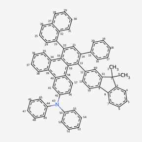 CC1(C)c2ccccc2-c2ccc(-c3c(-c4ccccc4)cc(-c4cccc5ccccc45)c4c5ccccc5c5cc(N(c6ccccc6)c6ccccc6)ccc5c34)cc21